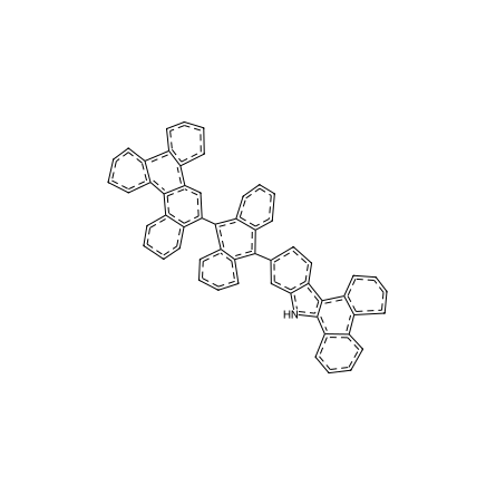 c1ccc2c(-c3cc4c5ccccc5c5ccccc5c4c4ccccc34)c3ccccc3c(-c3ccc4c(c3)[nH]c3c5ccccc5c5ccccc5c43)c2c1